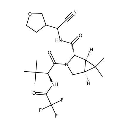 CC(C)(C)[C@H](NC(=O)C(F)(F)F)C(=O)N1C[C@H]2[C@@H]([C@H]1C(=O)NC(C#N)C1CCOC1)C2(C)C